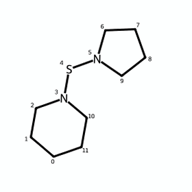 C1CCN(SN2CCCC2)CC1